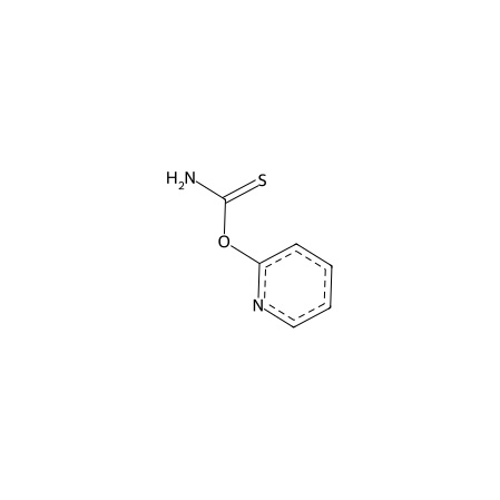 NC(=S)Oc1ccccn1